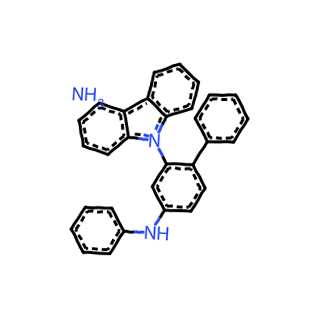 N.c1ccc(Nc2ccc(-c3ccccc3)c(-n3c4ccccc4c4ccccc43)c2)cc1